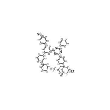 CC[C@@H]1C[C@@H]2C[C@H](C)CC(c3ccc(-c4nc(-c5ccccc5)nc(-c5cc(-c6ccc(C#N)cc6)cc(-c6cccc(-c7ccccc7)c6)c5)n4)cc3)(C1)C2